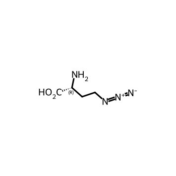 [N-]=[N+]=NCC[C@@H](N)C(=O)O